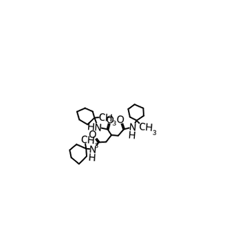 CC1(NC(=O)CC(CC(=O)NC2(C)CCCCC2)C(=O)NC2(C)CCCCC2)CCCCC1